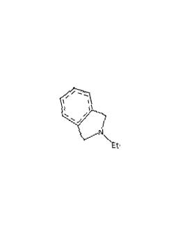 C[CH]N1Cc2ccccc2C1